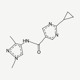 Cc1nn(C)cc1NC(=O)c1cnc(C2CC2)nc1